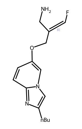 CCCCc1cn2cc(OC/C(=C/F)CN)ccc2n1